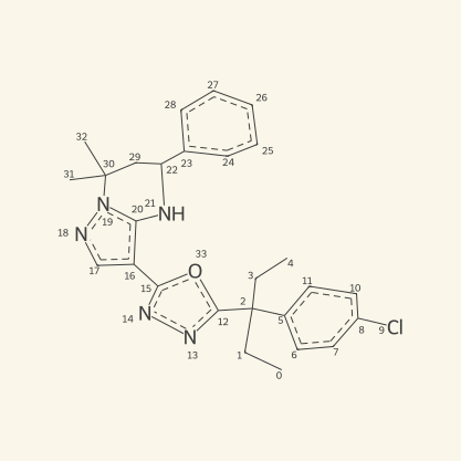 CCC(CC)(c1ccc(Cl)cc1)c1nnc(-c2cnn3c2NC(c2ccccc2)CC3(C)C)o1